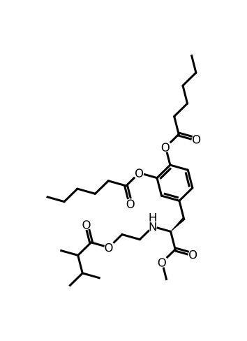 CCCCCC(=O)Oc1ccc(C[C@H](NCCOC(=O)C(C)C(C)C)C(=O)OC)cc1OC(=O)CCCCC